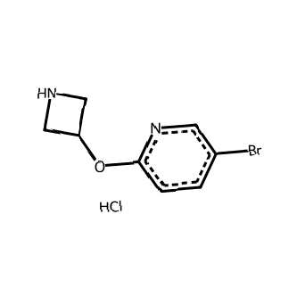 Brc1ccc(OC2CNC2)nc1.Cl